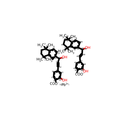 CC1(C)CCC(C)(C)c2cc(C(O)C#Cc3ccc(C(=O)[O-])c(O)c3)ccc21.CC1(C)CCC(C)(C)c2cc(C(O)C#Cc3ccc(C(=O)[O-])c(O)c3)ccc21.[Pb+2]